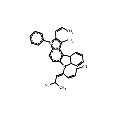 C/C=C\c1c(C)c2c3c(ccc2n1-c1ccccc1)N(C(/C=C\CC#N)=C/C(C)C#N)C1C=CC=CC31